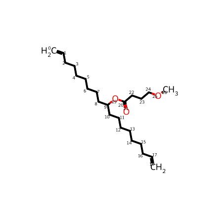 C=CCCCCCCCC(CCCCCCCC=C)OC(=O)CCCOC